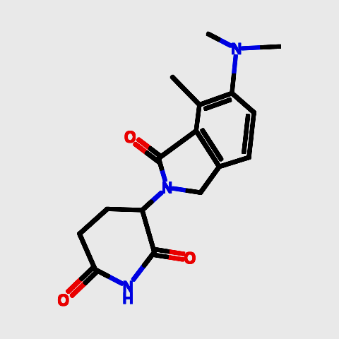 Cc1c(N(C)C)ccc2c1C(=O)N(C1CCC(=O)NC1=O)C2